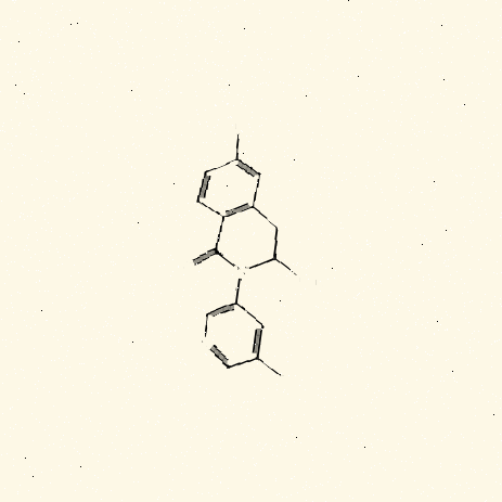 CC1Cc2cc(Cl)ccc2C(=O)N1c1cncc(F)c1